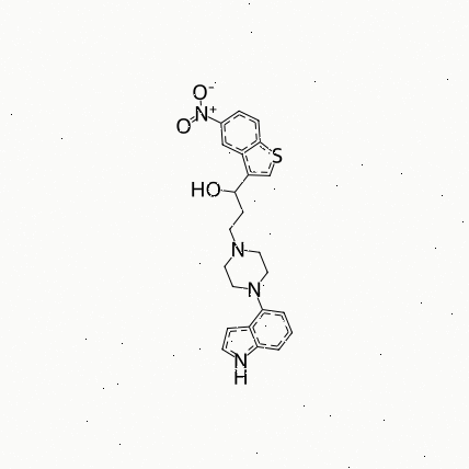 O=[N+]([O-])c1ccc2scc(C(O)CCN3CCN(c4cccc5[nH]ccc45)CC3)c2c1